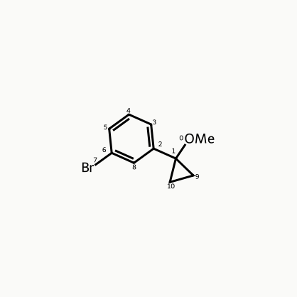 COC1(c2cccc(Br)c2)CC1